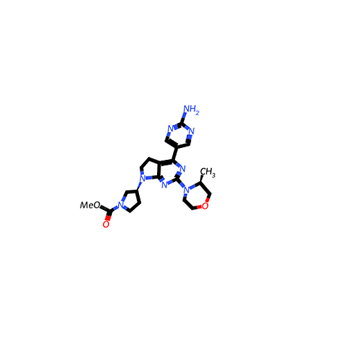 COC(=O)N1CC[C@H](N2CCc3c(-c4cnc(N)nc4)nc(N4CCOC[C@@H]4C)nc32)C1